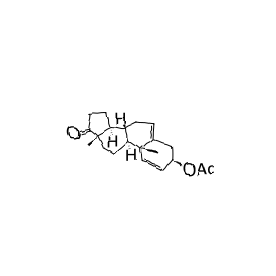 CC(=O)O[C@H]1C=C[C@@]2(C)C(=CC[C@@H]3[C@@H]2CC[C@]2(C)C(=O)CC[C@@H]32)C1